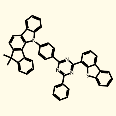 CC1(C)c2ccccc2-c2c1ccc1c3ccccc3n(-c3ccc(-c4nc(-c5ccccc5)nc(-c5cccc6c5sc5ccccc56)n4)cc3)c21